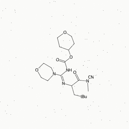 CN(C#N)C(=O)C(CC(C)(C)C)N=C(NC(=O)OC1CCOCC1)N1CCOCC1